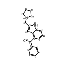 ClC(c1ccccc1)c1cccc2[nH]c(CN3CCCC3)nc12